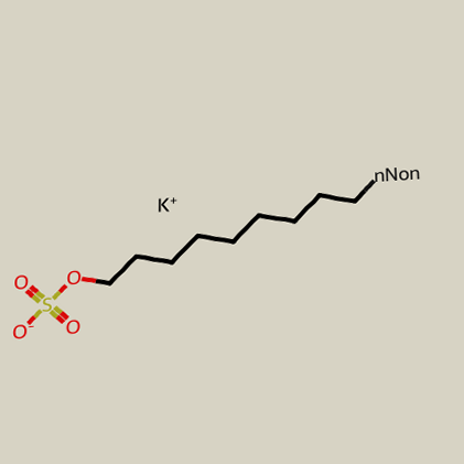 CCCCCCCCCCCCCCCCCCOS(=O)(=O)[O-].[K+]